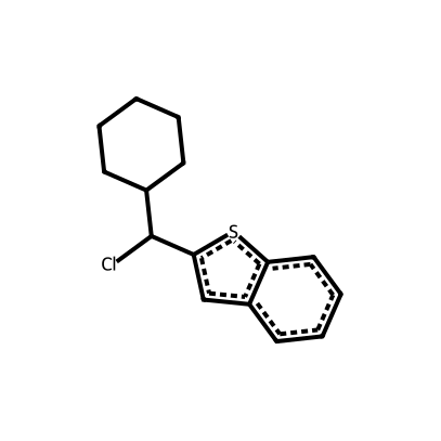 ClC(c1cc2ccccc2s1)C1CCCCC1